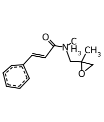 CN(CC1(C)CO1)C(=O)C=Cc1ccccc1